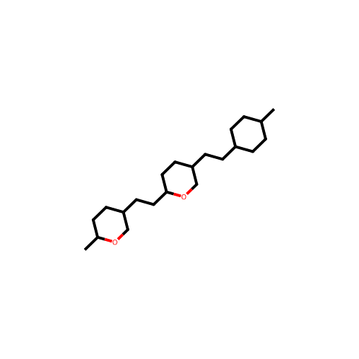 CC1CCC(CCC2CCC(CCC3CCC(C)OC3)OC2)CC1